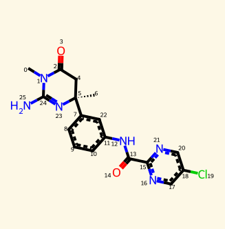 CN1C(=O)C[C@@](C)(c2cccc(NC(=O)c3ncc(Cl)cn3)c2)N=C1N